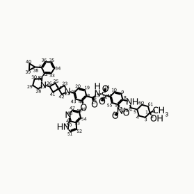 CC1(O)CCC(CNc2ccc(S(=O)(=O)NC(=O)c3ccc(N4CC5(CC(N6CCC[C@H]6c6ccccc6C6CC6)C5)C4)cc3Oc3cnc4[nH]ccc4c3)cc2[N+](=O)[O-])CC1